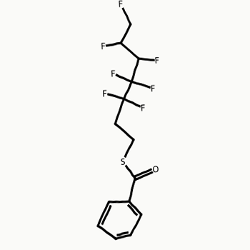 O=C(SCCC(F)(F)C(F)(F)C(F)C(F)CF)c1ccccc1